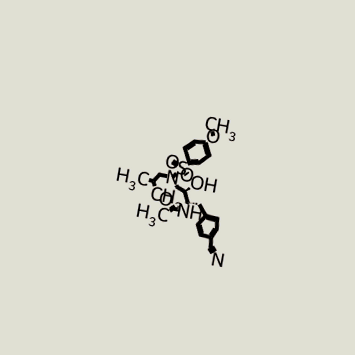 COc1ccc(S(=O)(=O)N(CC(C)C)C[C@@H](O)[C@H](Cc2ccc(C#N)cc2)NC(C)=O)cc1